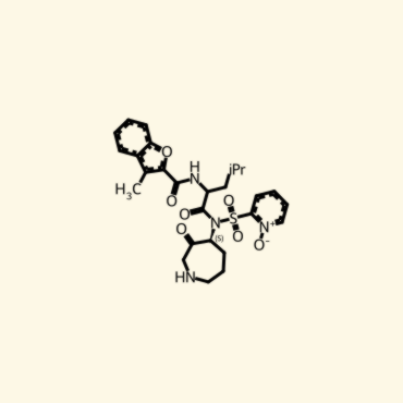 Cc1c(C(=O)NC(CC(C)C)C(=O)N([C@H]2CCCNCC2=O)S(=O)(=O)c2cccc[n+]2[O-])oc2ccccc12